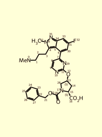 CNCCCc1c2c(-c3ccnc(O[C@H]4C[C@@H](C(=O)O)N(C(=O)OCc5ccccc5)C4)n3)cc(F)cc2nn1C